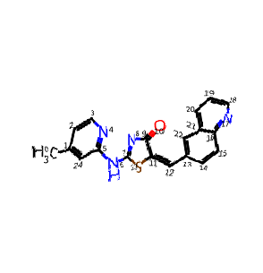 Cc1ccnc(NC2=NC(=O)C(=Cc3ccc4ncccc4c3)S2)c1